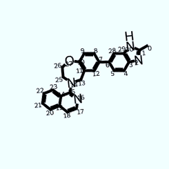 Cc1nc2ccc(-c3ccc4c(c3)CN(c3nccc5ccccc35)CCO4)cc2[nH]1